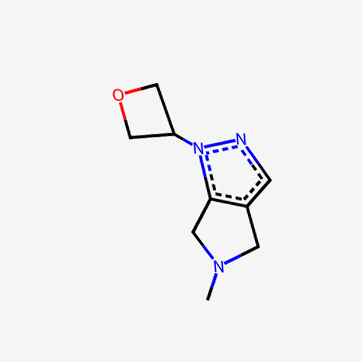 CN1Cc2cnn(C3COC3)c2C1